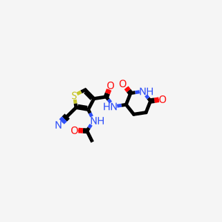 CC(=O)Nc1c(C(=O)NC2CCC(=O)NC2=O)csc1C#N